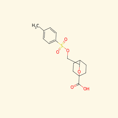 Cc1ccc(S(=O)(=O)OCC2OC3(C(=O)O)CCC2CC3)cc1